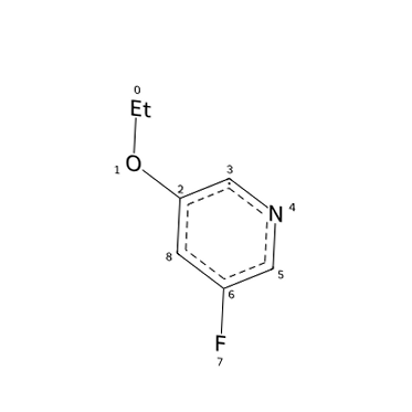 CCOc1[c]ncc(F)c1